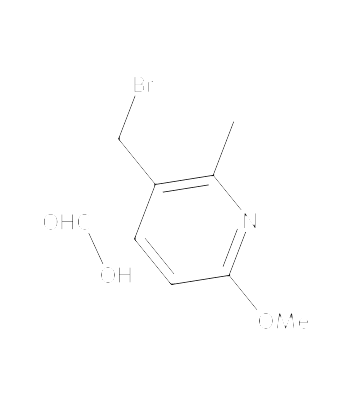 COc1ccc(CBr)c(C)n1.O=CO